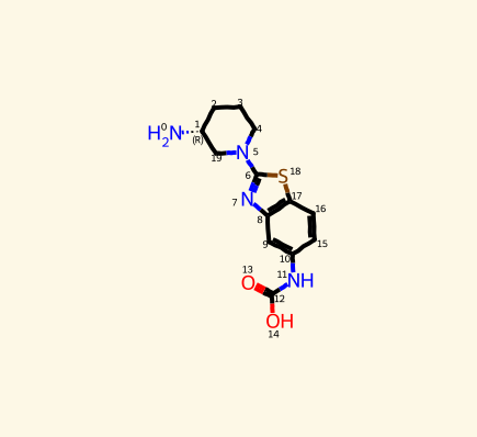 N[C@@H]1CCCN(c2nc3cc(NC(=O)O)ccc3s2)C1